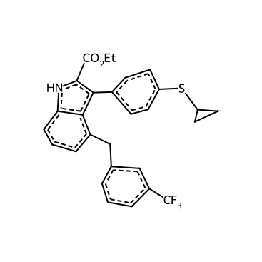 CCOC(=O)c1[nH]c2cccc(Cc3cccc(C(F)(F)F)c3)c2c1-c1ccc(SC2CC2)cc1